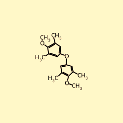 COc1c(C)cc(Oc2cc(C)c(OC)c(C)c2)cc1C